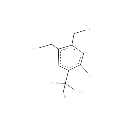 CCc1cc(Br)c(C(C)(C)C)cc1CCl